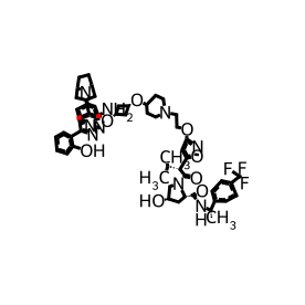 CC(C)[C@@H](C(=O)N1C[C@H](O)C[C@H]1C(=O)N[C@@H](C)c1ccc(C(F)(F)F)cc1)c1cc(OCCN2CCC(O[C@H]3C[C@H](Oc4cc(N5C6CCC5CC(c5cc(-c7ccccc7O)nnc5N)C6)ccn4)C3)CC2)no1